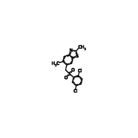 Cc1nc2cc(C)c(CS(=O)(=O)c3cc(Cl)ccc3Cl)cc2s1